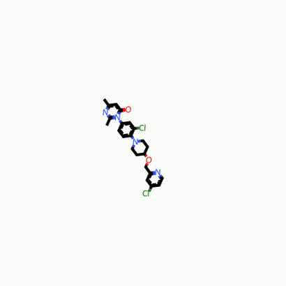 Cc1cc(=O)n(-c2ccc(N3CCC(OCc4cc(Cl)ccn4)CC3)c(Cl)c2)c(C)n1